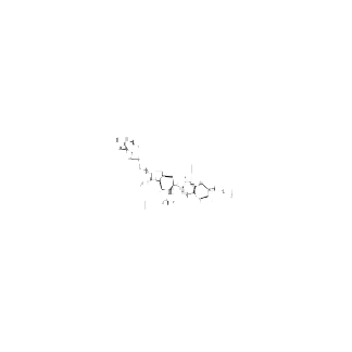 CCN(CC)CCCNC(=O)c1ccc(-c2nc3ccc(OC)cc3[nH]2)c(OC)c1